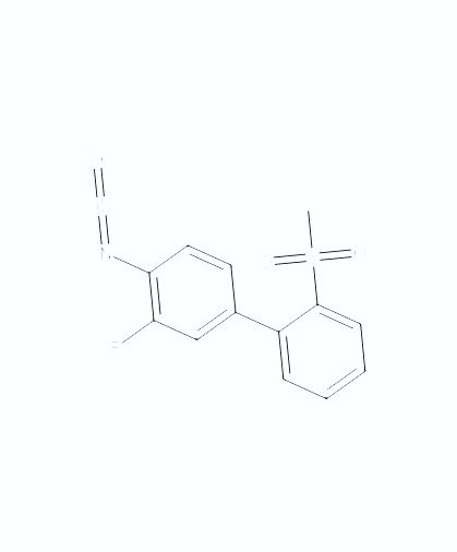 CS(=O)(=O)c1ccccc1-c1ccc(N=C=O)c(F)c1